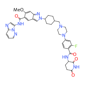 COc1cc2nn(C3CCC(CN4CCN(c5ccc(C(=O)NC6CCC(=O)NC6=O)c(F)c5)CC4)CC3)cc2cc1C(=O)Nc1cnc2cccnn12